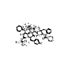 CC(C)C(NC(=O)C(Cc1ccc(F)cc1)CC(O[Si](C)(C)C(C)(C)C)C(CC1CCCCC1)NC(=O)OC(C)(C)C)C(=O)NC(Cc1ccccc1)C(=O)NC(=O)N1CCSCC1